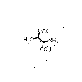 CC(=O)OC(C)[C@H](N)C(=O)O